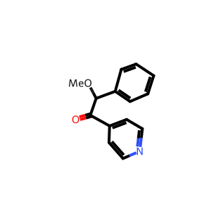 COC(C(=O)c1ccncc1)c1ccccc1